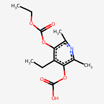 CCOC(=O)Oc1c(C)nc(C)c(OC(=O)O)c1CC